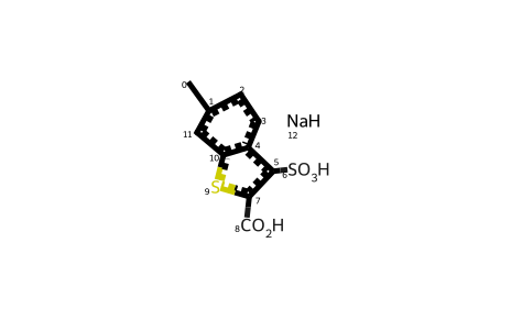 Cc1ccc2c(S(=O)(=O)O)c(C(=O)O)sc2c1.[NaH]